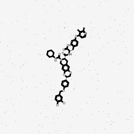 Cc1nccc(Oc2ccc(C[C@H](NC(=O)[C@@H]3Cc4cc5c(cc4CN3C(=O)NC3CCCCC3)O[C@@H](c3ccc(OCc4ccc(Cl)c(Cl)c4)cc3)CO5)C(=O)O)cc2)c1C